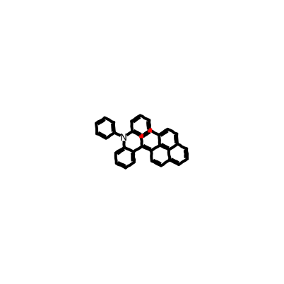 c1ccc(N(c2ccccc2)c2ccccc2-c2ccc3ccc4cccc5ccc2c3c45)cc1